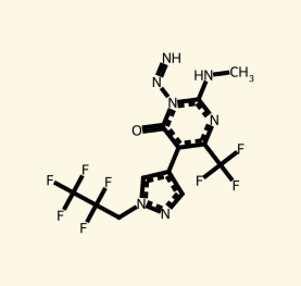 CNc1nc(C(F)(F)F)c(-c2cnn(CC(F)(F)C(F)(F)F)c2)c(=O)n1N=N